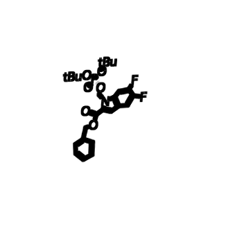 CC(C)(C)OP(=O)(OCn1c(C(=O)OCc2ccccc2)cc2cc(F)c(F)cc21)OC(C)(C)C